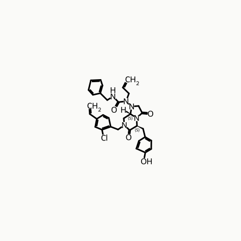 C=CCN(C(=O)NCc1ccccc1)N1CC(=O)N2[C@@H](Cc3ccc(O)cc3)C(=O)N(Cc3ccc(C=C)cc3Cl)C[C@@H]21